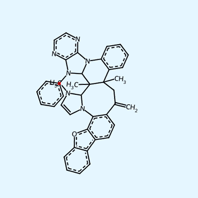 C=C1CC2(C)c3ccccc3N3c4nccnc4N(c4ccccc4)C3C2(C)C2N(C)C=CN2c2c1ccc1c2oc2ccccc21